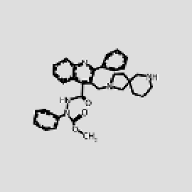 COC(=O)N(NC(=O)c1c(CN2CCC3(CCCNC3)C2)c(-c2ccccc2)nc2ccccc12)c1ccccc1